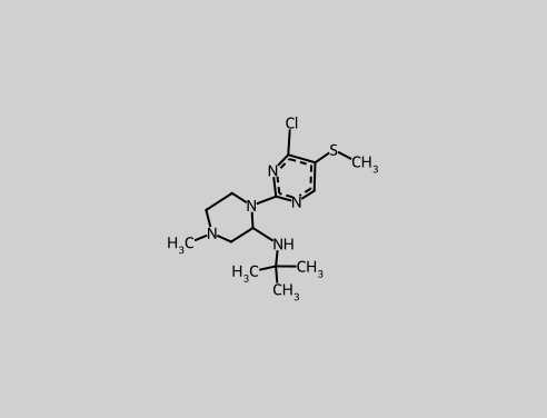 CSc1cnc(N2CCN(C)CC2NC(C)(C)C)nc1Cl